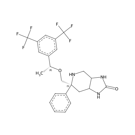 C[C@@H](OC[C@@]1(c2ccccc2)CC2NC(=O)NC2CN1)c1cc(C(F)(F)F)cc(C(F)(F)F)c1